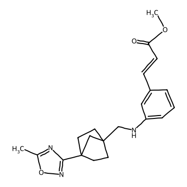 COC(=O)/C=C/c1cccc(NCC23CCC(c4noc(C)n4)(CC2)C3)c1